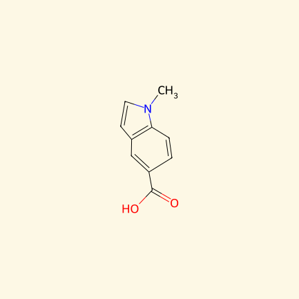 Cn1ccc2cc(C(=O)O)ccc21